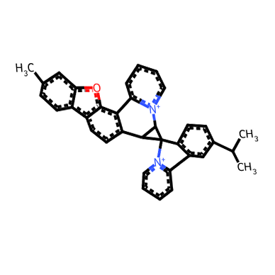 Cc1ccc2c(c1)oc1c3c(ccc12)C1C([n+]2ccccc2-3)C12c1ccc(C(C)C)cc1-c1cccc[n+]12